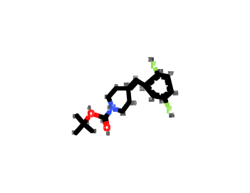 CC(C)(C)OC(=O)N1CCC(=Cc2cc(F)ccc2F)CC1